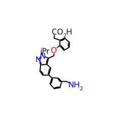 CC(C)n1nc2ccc(-c3cccc(CN)c3)cc2c1COc1ccccc1CC(=O)O